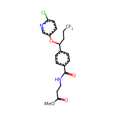 COC(=O)CCNC(=O)c1ccc(C(CCC(F)(F)F)Oc2ccc(Cl)nc2)cc1